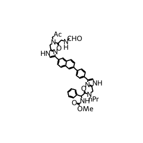 CCCN(Cc1nc(-c2ccc(-c3ccc4cc(-c5c[nH]c(CN(CC(C)=O)C(=O)CNC=O)n5)ccc4c3)cc2)c[nH]1)C(=O)C(NC(=O)OC)c1ccccc1